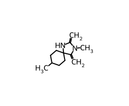 C=C1NC2(CCC(C)CC2)C(=C)N1C